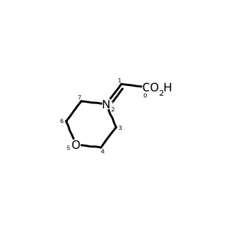 O=C(O)C=[N+]1CCOCC1